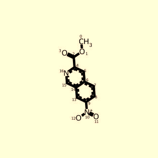 COC(=O)c1cc2ccc([N+](=O)[O-])cc2cn1